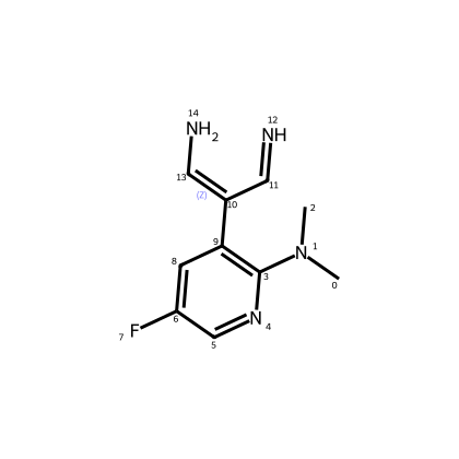 CN(C)c1ncc(F)cc1/C(C=N)=C/N